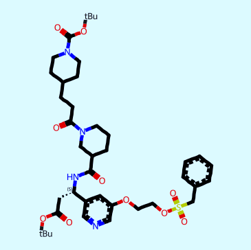 CC(C)(C)OC(=O)C[C@H](NC(=O)C1CCCN(C(=O)CCC2CCN(C(=O)OC(C)(C)C)CC2)C1)c1cncc(OCCOS(=O)(=O)Cc2ccccc2)c1